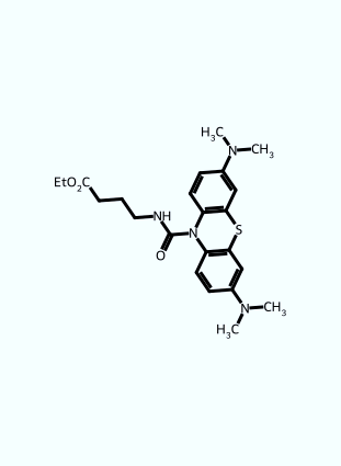 CCOC(=O)CCCNC(=O)N1c2ccc(N(C)C)cc2Sc2cc(N(C)C)ccc21